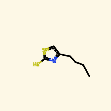 CCCCc1csc(S)n1